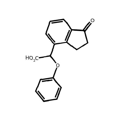 O=C1CCc2c1cccc2C(Oc1ccccc1)C(=O)O